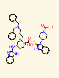 O=C(O)N1CCC(Nc2nc3ccccc3[nH]2)C[C@@H]1CCCN(Cc1ccccc1)Cc1ccccc1.O=C(O)N1CCC(n2c(=O)[nH]c3ccccc32)CC1